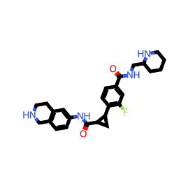 O=C(NCC1CCCCN1)c1ccc(C2CC2C(=O)Nc2ccc3c(c2)CCNC3)c(F)c1